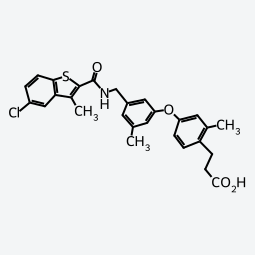 Cc1cc(CNC(=O)c2sc3ccc(Cl)cc3c2C)cc(Oc2ccc(CCC(=O)O)c(C)c2)c1